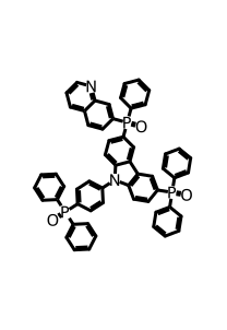 O=P(c1ccccc1)(c1ccccc1)c1ccc(-n2c3ccc(P(=O)(c4ccccc4)c4ccccc4)cc3c3cc(P(=O)(c4ccccc4)c4ccc5cccnc5c4)ccc32)cc1